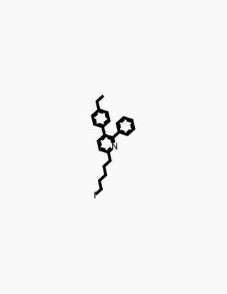 CCc1ccc(-c2ccc(CCCCCI)nc2-c2ccccc2)cc1